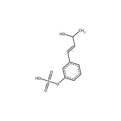 CC(O)/C=C/c1cccc(OS(=O)(=O)O)c1